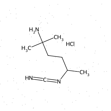 CC(CCC(C)(C)N)N=C=N.Cl